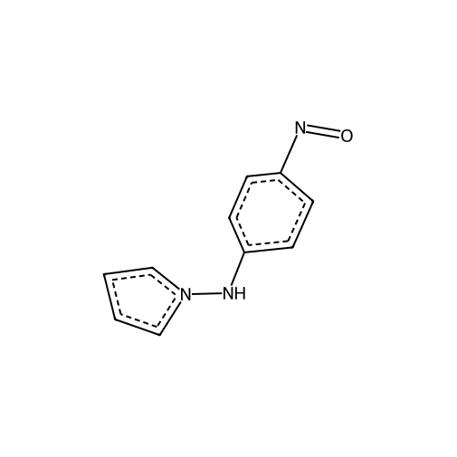 O=Nc1ccc(Nn2cccc2)cc1